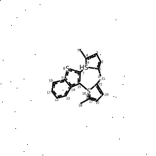 CC1=CC=C(C)[SH]1c1sc2ccccc2c1[SH]1C(C)=CC=C1C